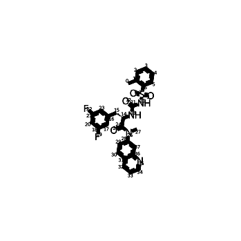 Cc1ccccc1S(=O)(=O)NC(=O)N[C@@H](Cc1cc(F)cc(F)c1)C(=O)N(C)c1ccc2cccnc2c1